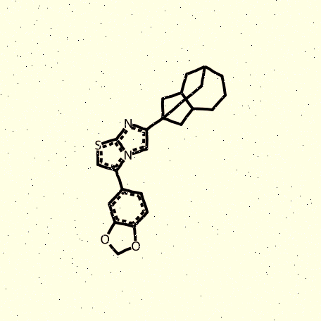 c1cc2c(cc1-c1csc3nc(C45CC6CCCC(C4)C(C6)C5)cn13)OCO2